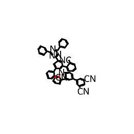 N#Cc1cc(C#N)cc(-c2ccc3c(c2)c2ccccc2n3-c2c(-c3ccccc3C#N)cc(-c3nc(-c4ccccc4)nc(-c4ccccc4)n3)cc2-c2ccccc2C#N)c1